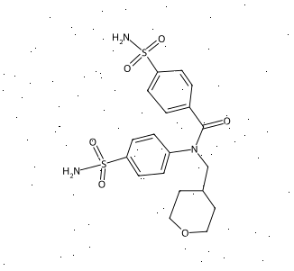 NS(=O)(=O)c1ccc(C(=O)N(CC2CCOCC2)c2ccc(S(N)(=O)=O)cc2)cc1